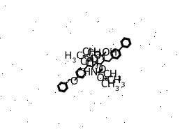 CC(C)(C)OC(=O)NC(Cc1ccc(OCc2ccccc2)cc1)C(CC(Cc1ccc(-c2ccccc2)cc1)C(=O)O)O[Si](C)(C)C(C)(C)C